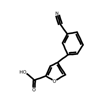 N#Cc1cccc(-c2coc(C(=O)O)c2)c1